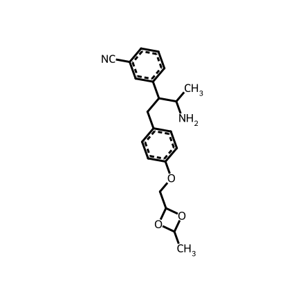 CC1OC(COc2ccc(CC(c3cccc(C#N)c3)C(C)N)cc2)O1